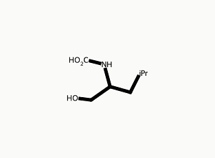 CC(C)CC(CO)NC(=O)O